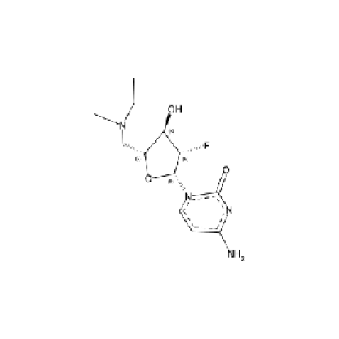 CCN(C)C[C@H]1O[C@@H](n2ccc(N)nc2=O)[C@@H](F)[C@@H]1O